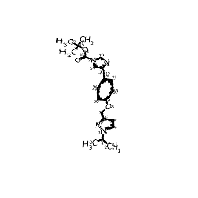 CC(C)n1ccc(COc2ccc(-c3cn(C(=O)OC(C)(C)C)cn3)cc2)n1